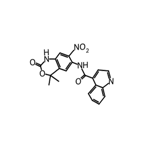 CC1(C)OC(=O)Nc2cc([N+](=O)[O-])c(NC(=O)c3ccnc4ccccc34)cc21